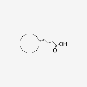 O=C(O)CCC=C1CCCCCCCCCCC1